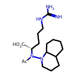 CC(=O)N([C@@H](CCCNC(=N)N)C(=O)O)N1CCCC2CCCCC21